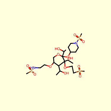 CC(O)[C]1C(OCCNS(C)(=O)=O)COC(OC2CCN(S(C)(=O)=O)CC2)(C(C)O)C1(OCCS(C)(=O)=O)C(C)O